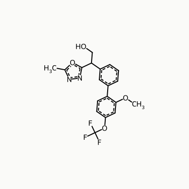 COc1cc(OC(F)(F)F)ccc1-c1cccc(C(CO)c2nnc(C)o2)c1